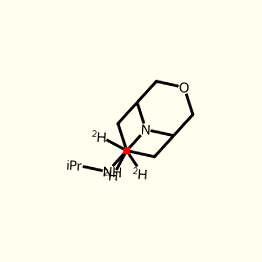 [2H]C([2H])([2H])N1C2COCC1CC(NC(C)C)C2